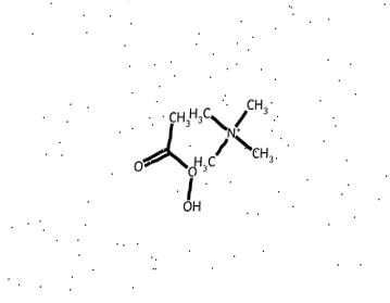 CC(=O)OO.C[N+](C)(C)C